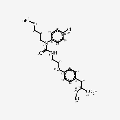 CCCSCCCN(C(=O)NCCOc1ccc(CC(OCC)C(=O)O)cc1)c1ccc(Cl)cc1